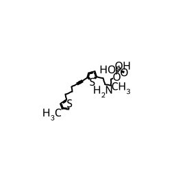 Cc1csc(CCCC#Cc2ccc(CCC(C)(N)COP(=O)(O)O)s2)c1